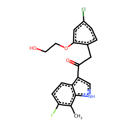 Cc1c(F)ccc2c(C(=O)Cc3ccc(Cl)cc3OCCO)c[nH]c12